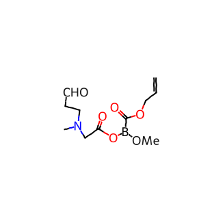 C=CCOC(=O)B(OC)OC(=O)CN(C)CCC=O